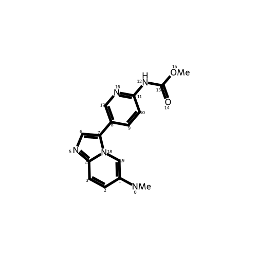 CNc1ccc2ncc(-c3ccc(NC(=O)OC)nc3)n2c1